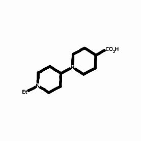 CCN1CCC(N2CCC(C(=O)O)CC2)CC1